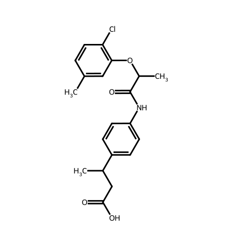 Cc1ccc(Cl)c(OC(C)C(=O)Nc2ccc(C(C)CC(=O)O)cc2)c1